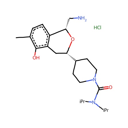 Cc1ccc2c(c1O)C[C@@H](C1CCN(C(=O)N(C(C)C)C(C)C)CC1)O[C@H]2CN.Cl